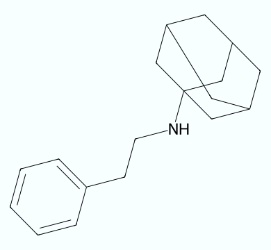 c1ccc(CCNC23CC4CC(CC(C4)C2)C3)cc1